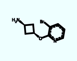 N[C@H]1C[C@@H](Oc2ncccc2Br)C1